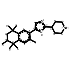 Cc1cc2c(cc1-c1csc(C3CCNCC3)n1)C(C)(C)CC(C)C2(C)C